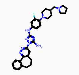 Nc1nc(Nc2ccc(N3CCC(CN4CCCC4)CC3)c(F)c2)nn1-c1cc2c(nn1)-c1ccccc1CCC2